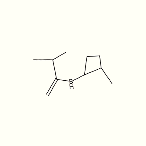 C=C(BC1CCC1C)C(C)C